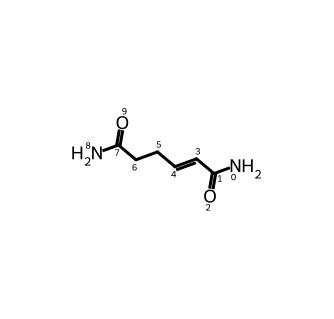 NC(=O)C=CCCC(N)=O